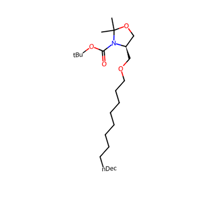 CCCCCCCCCCCCCCCCCCOC[C@@H]1COC(C)(C)N1C(=O)OC(C)(C)C